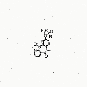 CCN1c2ncccc2C(=O)N(C)c2ccc(OS(=O)(=O)C(F)(F)F)nc21